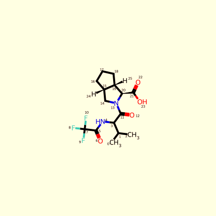 CC(C)C(NC(=O)C(F)(F)F)C(=O)N1C[C@@H]2CCC[C@@H]2[C@H]1C(=O)O